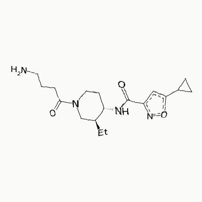 CC[C@H]1CN(C(=O)CCCN)CC[C@@H]1NC(=O)c1cc(C2CC2)on1